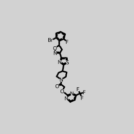 O=C(COc1nccc(C(F)(F)F)n1)N1CCC(c2nc(C3=NOC(c4c(F)cccc4Br)C3)cs2)CC1